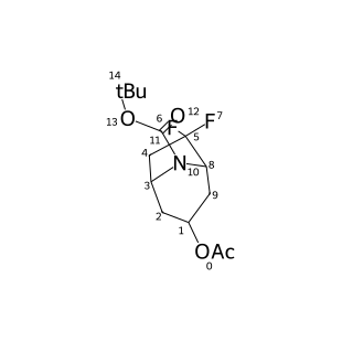 CC(=O)OC1CC2CC(F)(F)C(C1)N2C(=O)OC(C)(C)C